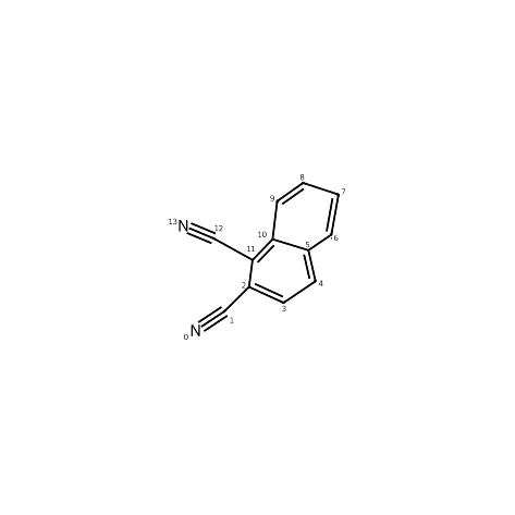 N#Cc1ccc2[c]cccc2c1C#N